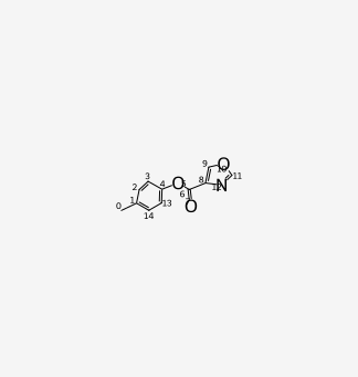 Cc1ccc(OC(=O)c2cocn2)cc1